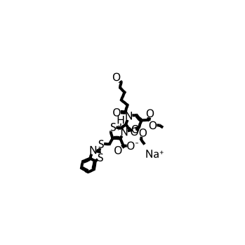 CCOC(=O)C(=CN(C(=O)CCCCC=O)C1C(=O)N2C(C(=O)[O-])=C(CSc3nc4ccccc4s3)CS[C@@H]12)C(=O)OCC.[Na+]